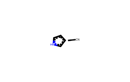 CC#N.c1cc[nH]c1